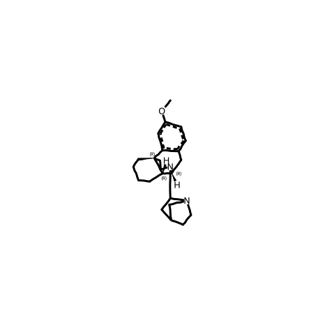 COc1ccc2c(c1)[C@@]13CCCC[C@H]1[C@@H](C2)N(C1CC2CCN1C2)CC3